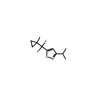 CC(C)c1cc(C(F)(F)C2(C)CC2)on1